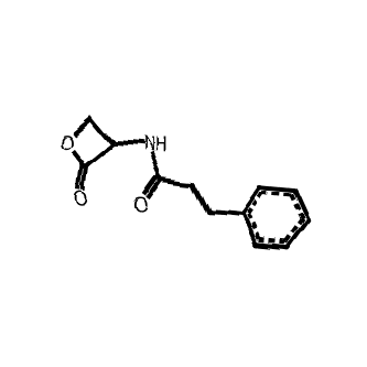 O=C(CCc1ccccc1)NC1COC1=O